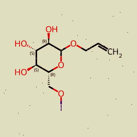 C=CCOC1O[C@H](COI)[C@@H](O)[C@H](O)[C@H]1O